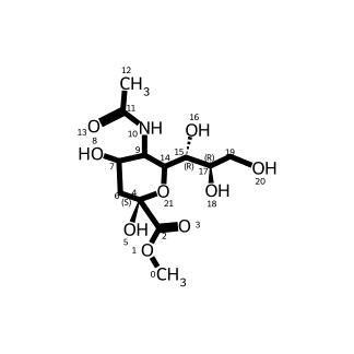 COC(=O)[C@]1(O)CC(O)C(NC(C)=O)C([C@H](O)[C@H](O)CO)O1